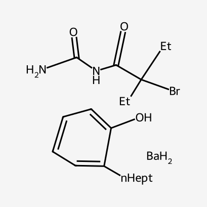 CCC(Br)(CC)C(=O)NC(N)=O.CCCCCCCc1ccccc1O.[BaH2]